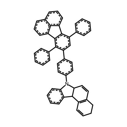 C1=CC2=C(C=CC3C2c2ccccc2N3c2ccc(-c3cc(-c4ccccc4)c4c(c3-c3ccccc3)-c3cccc5cccc-4c35)cc2)CC1